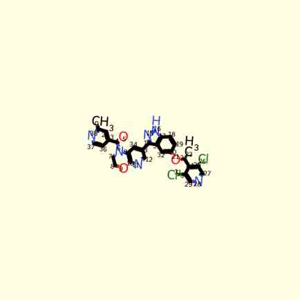 Cc1cc(C(=O)N2CCOc3ncc(-c4n[nH]c5ccc(O[C@H](C)c6c(Cl)cncc6Cl)cc45)cc32)ccn1